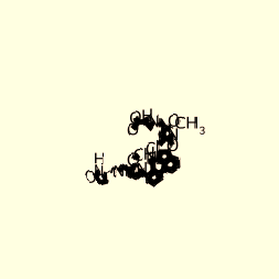 COc1nc(-c2cccc(-c3cccc4c3CC[C@@H]4Oc3nc(OC)c(CN4CC(C(=O)O)C4)cc3Cl)c2C#N)ccc1CNC[C@@H]1CCC(=O)N1